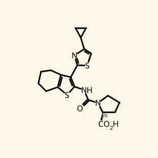 O=C(O)[C@@H]1CCCN1C(=O)Nc1sc2c(c1-c1nc(C3CC3)cs1)CCCC2